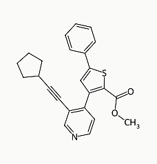 COC(=O)c1sc(-c2ccccc2)cc1-c1ccncc1C#CC1CCCC1